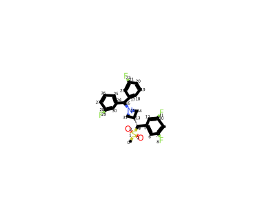 CS(=O)(=O)[C@@H](c1cc(F)cc(F)c1)C1CN(C(c2cccc(F)c2)c2cccc(F)c2)C1